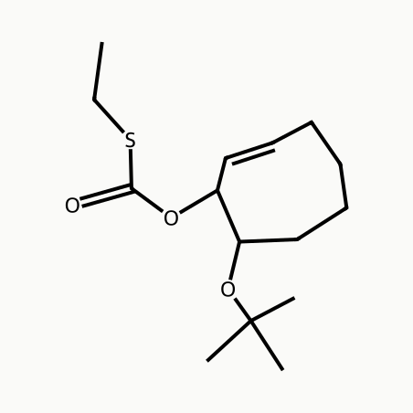 CCSC(=O)OC1/C=C/CCCCC1OC(C)(C)C